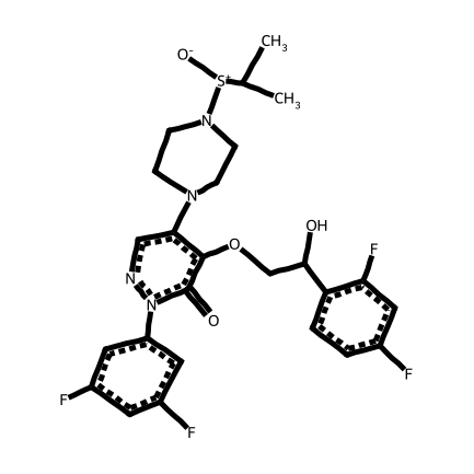 CC(C)[S+]([O-])N1CCN(c2cnn(-c3cc(F)cc(F)c3)c(=O)c2OCC(O)c2ccc(F)cc2F)CC1